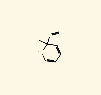 C=NC1(C)C=CC=CS1